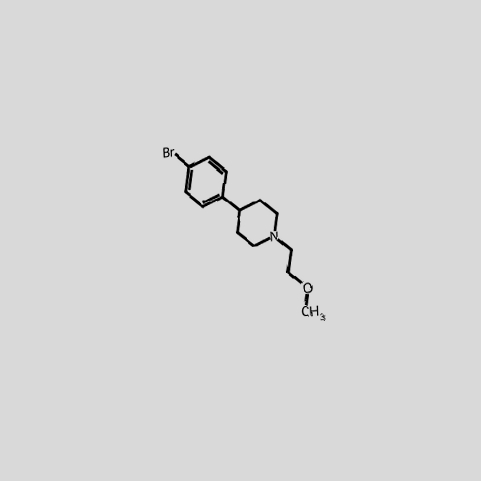 COCCN1CCC(c2ccc(Br)cc2)CC1